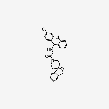 O=C(CNC(c1ccc(Cl)cc1)c1ccccc1Cl)N1CCC2(CC1)OCc1ccccc12